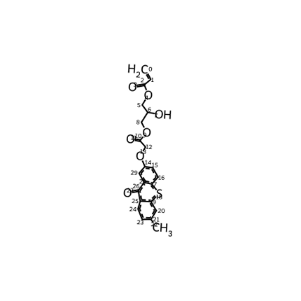 C=CC(=O)OCC(O)COC(=O)COc1ccc2sc3cc(C)ccc3c(=O)c2c1